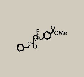 COC(=O)c1ccc(C[C@H]2[C@@H](F)CN2C(=O)OCc2ccccc2)cc1